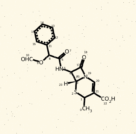 CC1S[C@@H]2C(NC(=O)C(OC=O)c3ccccc3)C(=O)N2C=C1C(=O)O